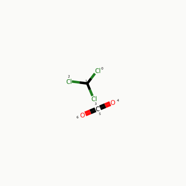 ClC(Cl)Cl.O=C=O